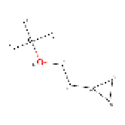 CC(C)(C)OCCC1CC1